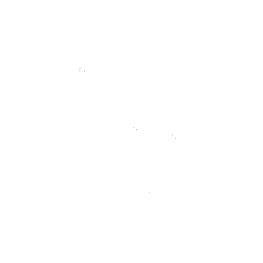 CC(C)Cc1c(=O)[nH]c(C(C)c2c[nH]c3ccccc23)c(O)[n+]1[O-]